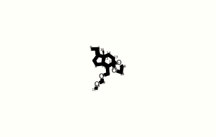 C/C=C1\CCC2=C(COCOC)C3(CC[C@]21C)OCCO3